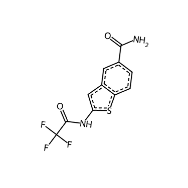 NC(=O)c1ccc2sc(NC(=O)C(F)(F)F)cc2c1